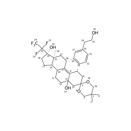 CC1(C)COC2(CCC3=C4C(CCC3(O)C2)C2CC[C@@](O)(C(F)(F)C(F)(F)F)[C@@]2(C)C[C@@H]4c2cccc(CCO)c2)OC1